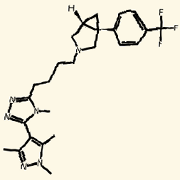 Cc1nn(C)c(C)c1-c1nnc(CCCCN2C[C@@H]3C[C@]3(c3ccc(C(F)(F)F)cc3)C2)n1C